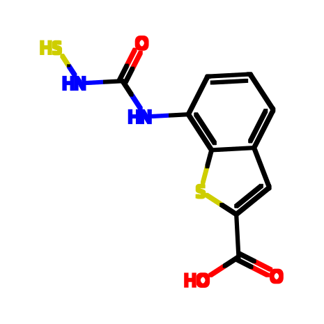 O=C(NS)Nc1cccc2cc(C(=O)O)sc12